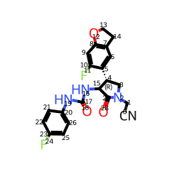 N#CCN1C[C@@H](c2cc3c(cc2F)OCC3)C(NC(=O)Nc2ccc(F)cc2)C1=O